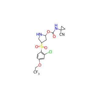 N#CC1(NC(=O)OC2C[C@@H](S(=O)(=O)c3ccc(OCC(F)(F)F)cc3Cl)CN2)CC1